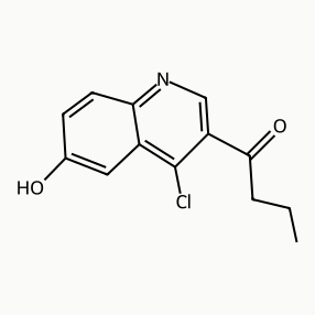 CCCC(=O)c1cnc2ccc(O)cc2c1Cl